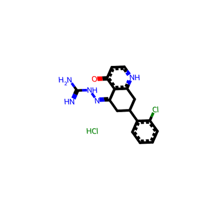 Cl.N=C(N)N/N=C1/CC(c2ccccc2Cl)Cc2[nH]ccc(=O)c21